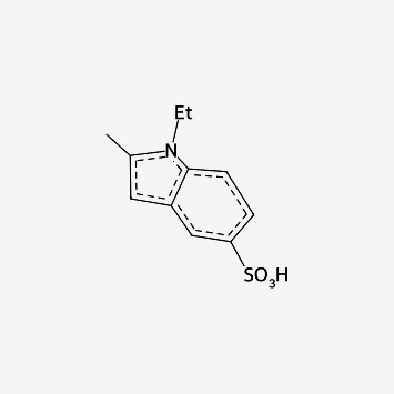 CCn1c(C)cc2cc(S(=O)(=O)O)ccc21